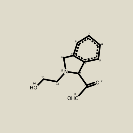 O=CC(=O)C1c2ccccc2CN1CCO